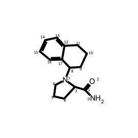 NC(=O)C1CCCN1C1CCCc2ccccc21